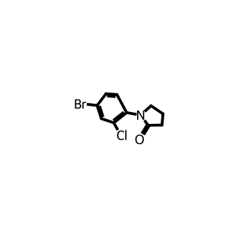 O=C1CCCN1c1ccc(Br)cc1Cl